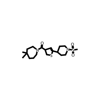 CC1(C)CCCN(C(=O)C2C=C(C3CCN(S(C)(=O)=O)CC3)SC2)CC1